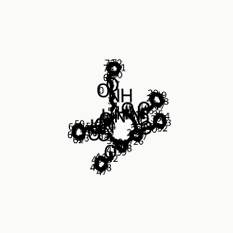 O=C(NCCC[C@@H]1NC(=O)[C@@H](NC(=O)OCc2ccccc2)Cc2cc(ccc2OCc2ccccc2)-c2ccc(OCc3ccccc3)c(c2)C[C@H](OC(=O)OCc2ccccc2)NC1=O)OCc1ccccc1